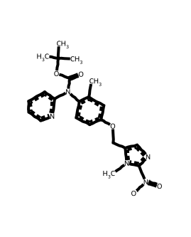 Cc1cc(OCc2cnc([N+](=O)[O-])n2C)ccc1N(C(=O)OC(C)(C)C)c1ccccn1